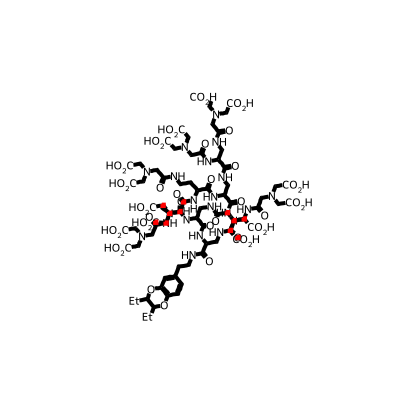 CCC1Oc2ccc(CCNC(=O)C(CNC(=O)C(CNC(=O)CN(CC(=O)O)CC(=O)O)NC(=O)C(CNC(=O)C(CNC(=O)CN(CC(=O)O)CC(=O)O)NC(=O)CN(CC(=O)O)CC(=O)O)NC(=O)C(CCNC(=O)CN(CC(=O)O)CC(=O)O)NC(=O)CN(CC(=O)O)CC(=O)O)NC(=O)C(CNC(=O)CN(CC(=O)O)CC(=O)O)NC(=O)C(C)NC(=O)CN(CC(=O)O)CC(=O)O)cc2OC1CC